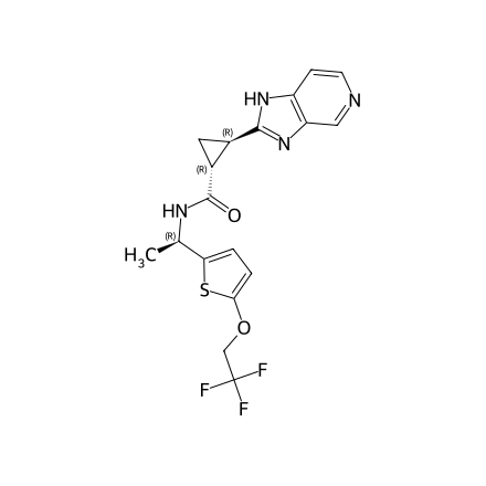 C[C@@H](NC(=O)[C@@H]1C[C@H]1c1nc2cnccc2[nH]1)c1ccc(OCC(F)(F)F)s1